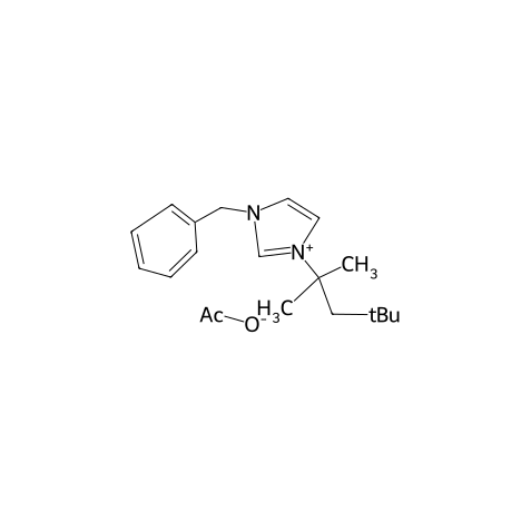 CC(=O)[O-].CC(C)(C)CC(C)(C)[n+]1ccn(Cc2ccccc2)c1